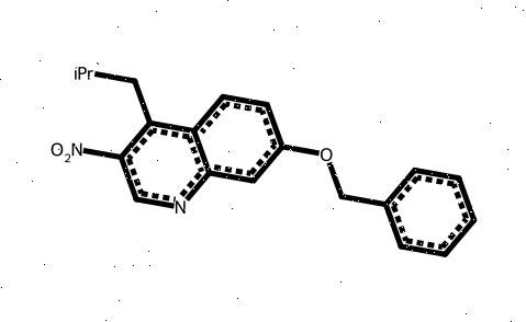 [CH2]C(C)Cc1c([N+](=O)[O-])cnc2cc(OCc3ccccc3)ccc12